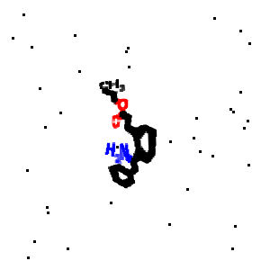 CCCCOC(=O)C=Cc1ccccc1C(N)=Cc1ccccc1